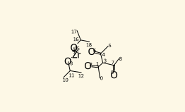 CC(=O)C(C(C)=O)C(C)=O.CC(C)[O][Zr][O]C(C)C